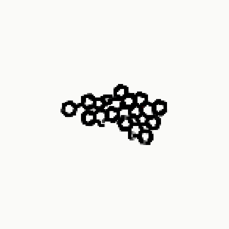 c1ccc(-c2ccc(-c3ccccc3N(c3ccc4c(c3)C3(c5ccccc5O4)c4cc(C5CCCCC5)ccc4-c4ccc(C5CCCCC5)cc43)c3ccc4c(c3)C3(c5ccccc5Oc5ccccc53)c3ccccc3-4)cc2)cc1